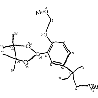 COCOc1ccc(C(C)(C)CC(C)(C)C)cc1B1OC(C)(C)C(C)(C)O1